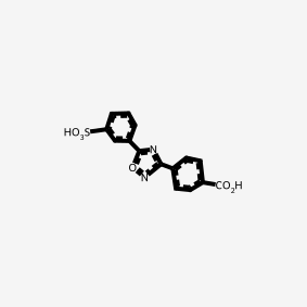 O=C(O)c1ccc(-c2noc(-c3cccc(S(=O)(=O)O)c3)n2)cc1